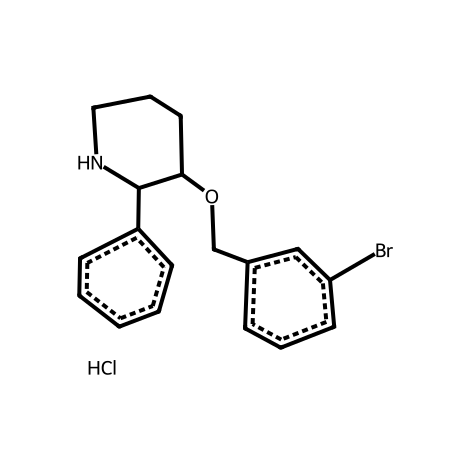 Brc1cccc(COC2CCCNC2c2ccccc2)c1.Cl